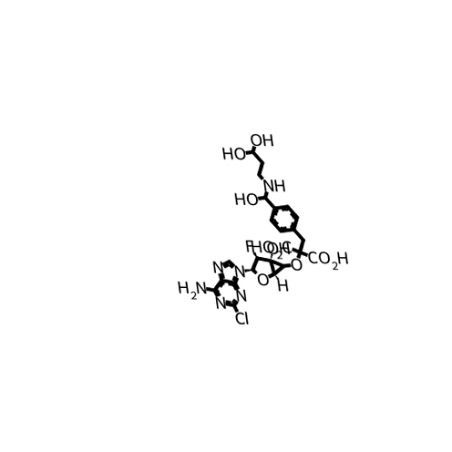 Nc1nc(Cl)nc2c1ncn2[C@@H]1O[C@@H]2C(OC(Cc3ccc(C(O)NCCC(O)O)cc3)(C(=O)O)C(=O)O)[C@]2(O)[C@@H]1F